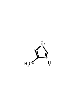 Cc1cc[nH]c1.[H+]